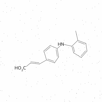 Cc1ccccc1Nc1ccc(C=CC(=O)O)cc1